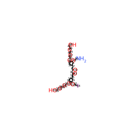 NCCOc1cc(/C=C/C(=O)CC(=O)/C=C/c2ccc(OCCOCCOCCO)c(OCCI)c2)ccc1OCCOCCOCCO